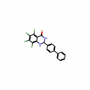 O=C1NC(c2ccc(-c3ccccc3)cc2)Nc2c(F)c(F)c(F)c(F)c21